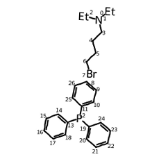 CCN(CC)CCCCBr.c1ccc(P(c2ccccc2)c2ccccc2)cc1